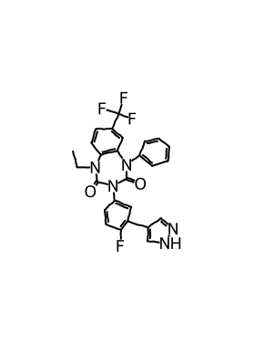 CCN1C(=O)N(c2ccc(F)c(-c3cn[nH]c3)c2)C(=O)N(c2ccccc2)c2cc(C(F)(F)F)ccc21